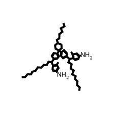 CCCCCCCCCCCC(c1ccc(C2(c3ccc(C(CCCCCCCCCCC)c4ccc(N)cc4C)cc3)CCC(CCCCCCC)CC2)cc1)c1ccc(N)cc1C